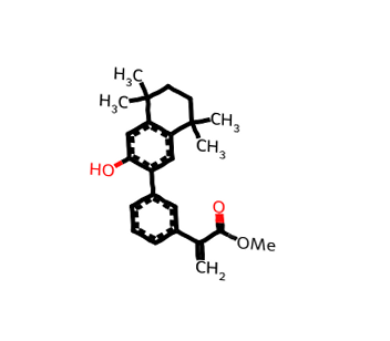 C=C(C(=O)OC)c1cccc(-c2cc3c(cc2O)C(C)(C)CCC3(C)C)c1